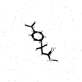 COC(=O)CC(C)(C)c1ccc(C(C)C)cc1